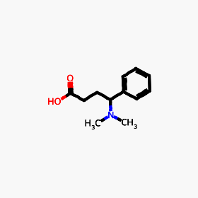 CN(C)C(CCC(=O)O)c1ccccc1